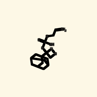 C=CCOP(=O)(O)OC1(C23CC4CC(CC(C4)C2)C3)COO1